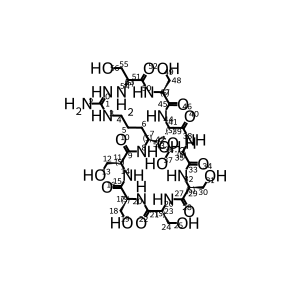 N=C(N)NCCC[C@H](NC(=O)[C@H](CO)NC(=O)[C@H](CO)NC(=O)[C@H](CO)NC(=O)[C@H](CO)NC(=O)[C@H](CO)NC(=O)[C@H](CO)NC(=O)[C@H](CO)NC(=O)[C@@H](N)CO)C(=O)O